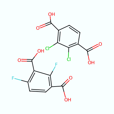 O=C(O)c1ccc(C(=O)O)c(Cl)c1Cl.O=C(O)c1ccc(F)c(C(=O)O)c1F